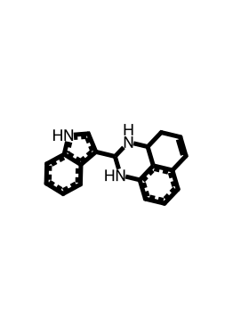 C1=Cc2cccc3c2C(C1)NC(c1c[nH]c2ccccc12)N3